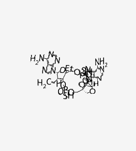 C=C[C@H]1[C@H](n2cnc3c(N)ncnc32)O[C@]2(CC)CO[P@@](=O)(S)O[C@H]3[C@H]4OC[C@]3(CO[P@@](=O)(S)O[C@@H]12)O[C@H]4n1cnc2c(N)ncnc21